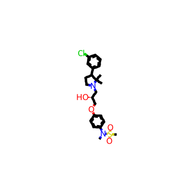 CN(c1ccc(OC[C@H](O)CN2CCC(c3cccc(Cl)c3)C2(C)C)cc1)S(C)(=O)=O